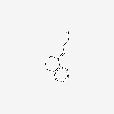 ClCC/C=C1\CCCc2ccccc21